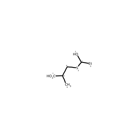 CCC(O)SCC(C)C(=O)O